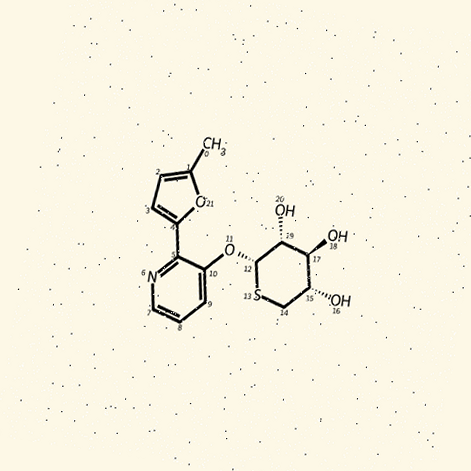 Cc1ccc(-c2ncccc2O[C@H]2SC[C@@H](O)[C@H](O)[C@H]2O)o1